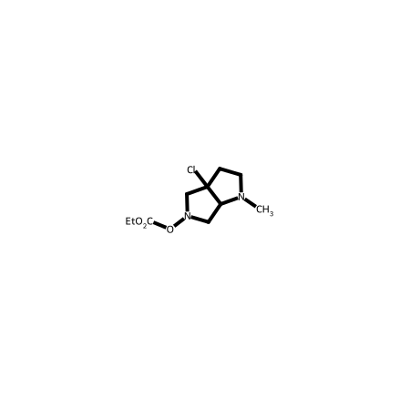 CCOC(=O)ON1CC2N(C)CCC2(Cl)C1